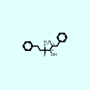 N[C@@H](Cc1ccccc1)[C@@H](O)C(F)(F)CCc1ccccc1